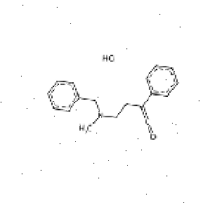 CN(CCC(=C=O)c1ccccc1)Cc1ccccc1.Cl